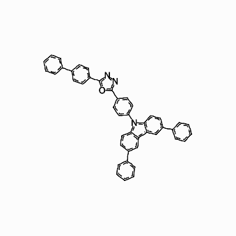 c1ccc(-c2ccc(-c3nnc(-c4ccc(-n5c6ccc(-c7ccccc7)cc6c6cc(-c7ccccc7)ccc65)cc4)o3)cc2)cc1